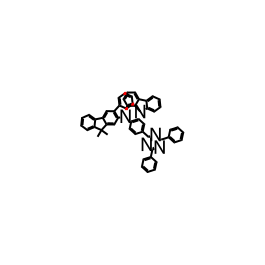 CC1(C)c2ccccc2-c2cc3c4ccccc4n(-c4ccc(-c5nc(-c6ccccc6)nc(-c6ccccc6)n5)cc4-n4c5ccccc5c5ccccc54)c3cc21